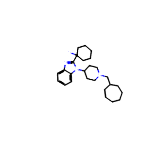 NC1(c2nc3ccccc3n2C2CCN(CC3CCCCCC3)CC2)CCCCC1